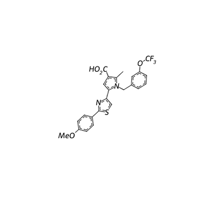 COc1ccc(-c2nc(-c3cc(C(=O)O)c(C)n3Cc3cccc(OC(F)(F)F)c3)cs2)cc1